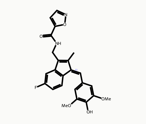 COc1cc(/C=C2/C(C)=C(CNC(=O)c3ccno3)c3cc(F)ccc32)cc(OC)c1O